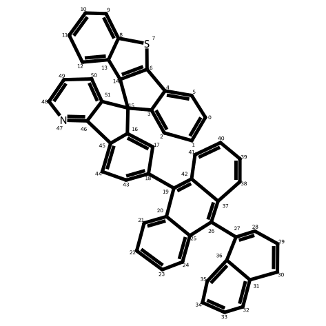 c1ccc2c(c1)-c1sc3ccccc3c1C21c2cc(-c3c4ccccc4c(-c4cccc5ccccc45)c4ccccc34)ccc2-c2ncccc21